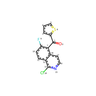 O=C(c1cccs1)c1c(F)ccc2c(Cl)nccc12